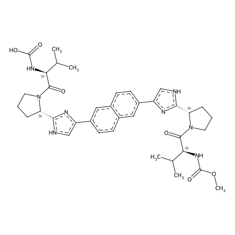 COC(=O)N[C@H](C(=O)N1CCC[C@H]1c1nc(-c2ccc3cc(-c4c[nH]c([C@@H]5CCCN5C(=O)[C@@H](NC(=O)O)C(C)C)n4)ccc3c2)c[nH]1)C(C)C